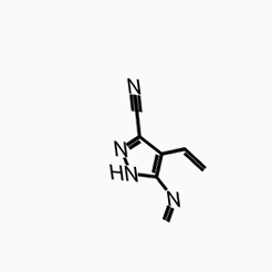 C=Cc1c(C#N)n[nH]c1N=C